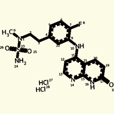 CN(CCc1ccc(F)c(Nc2ccnc3[nH]c(=O)ccc23)c1)S(N)(=O)=O.Cl.Cl